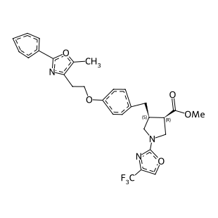 COC(=O)[C@H]1CN(c2nc(C(F)(F)F)co2)C[C@H]1Cc1ccc(OCCc2nc(-c3ccccc3)oc2C)cc1